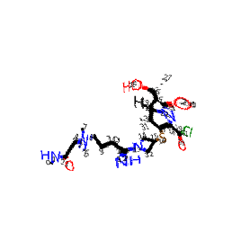 CNC(=O)C[N+](C)(C)CCCC(=N)N1CC(SC2=C(C(=O)Cl)N3C(=O)[C@H]([C@@H](C)O)[C@H]3[C@H]2C)C1